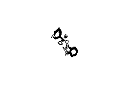 O=S(=O)(On1nnc2ccccc21)c1cccnc1